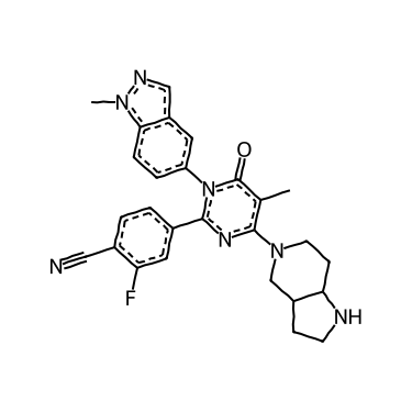 Cc1c(N2CCC3NCCC3C2)nc(-c2ccc(C#N)c(F)c2)n(-c2ccc3c(cnn3C)c2)c1=O